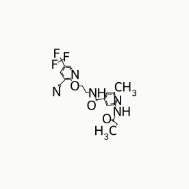 CCC(=O)Nc1cc(C(=O)NCCOc2ncc(C(F)(F)F)cc2C#N)cc(C)n1